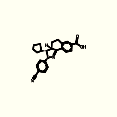 N#Cc1ccc(N2N=C3c4ccc(C(=O)O)cc4CC[C@H]3[C@H]2C2CCCC2)cc1